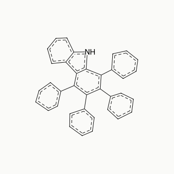 c1ccc(-c2c(-c3ccccc3)c(-c3ccccc3)c3c([nH]c4ccccc43)c2-c2ccccc2)cc1